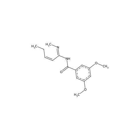 CC/C=C\C(=N/C)NC(=O)c1cc(OC)cc(OC)c1